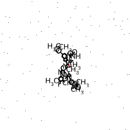 Cc1cc(-n2nc3c(c2-n2ccn(-c4ccc5c(c4)n(C)c(=O)n5C)c2=O)[C@H](C)N(C(=O)c2cc4cc(C5CCOC(C)(C)C5)ccc4n2[C@@]2(c4noc(=O)[nH]4)C[C@@H]2C)CC3)cc(C)c1F